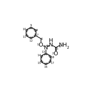 NC(=O)NN(OCc1ccccc1)c1ccccc1